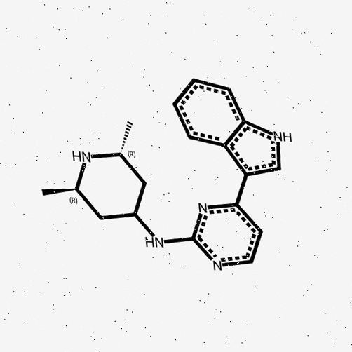 C[C@@H]1CC(Nc2nccc(-c3c[nH]c4ccccc34)n2)C[C@@H](C)N1